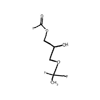 CC(F)(F)OCC(O)COC(=O)I